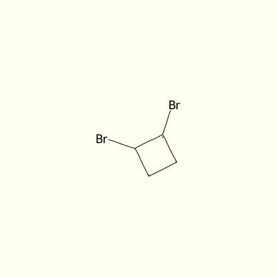 Br[C]1CCC1Br